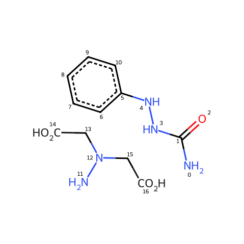 NC(=O)NNc1ccccc1.NN(CC(=O)O)CC(=O)O